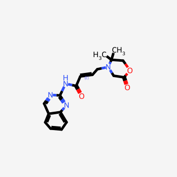 CC1(C)COC(=O)CN1C/C=C/C(=O)Nc1ncc2ccccc2n1